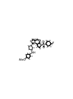 COc1ccc(N[C@@H]2CC[C@@H](c3nnc4cnc5c(ccn5S(=O)(=O)c5ccc(C)cc5)n34)C2)cc1